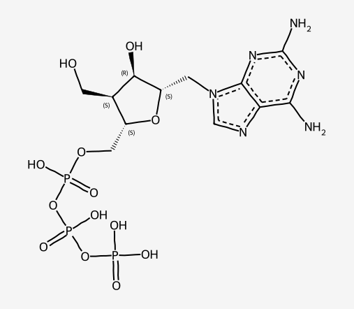 Nc1nc(N)c2ncn(C[C@@H]3O[C@H](COP(=O)(O)OP(=O)(O)OP(=O)(O)O)[C@@H](CO)[C@H]3O)c2n1